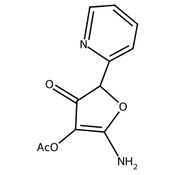 CC(=O)OC1=C(N)OC(c2ccccn2)C1=O